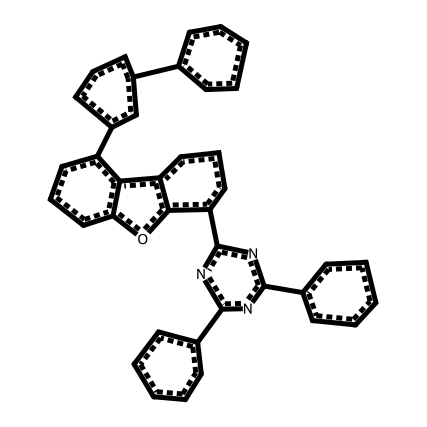 c1ccc(-c2cccc(-c3cccc4oc5c(-c6nc(-c7ccccc7)nc(-c7ccccc7)n6)cccc5c34)c2)cc1